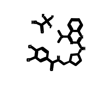 CN(C)c1nc(N[C@H]2CC[C@@H](CNC(=O)c3ccc(Cl)c(Cl)c3)C2)nc2ccccc12.O=C(O)C(F)(F)F